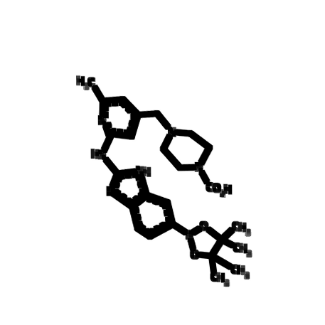 Cc1cc(CN2CCN(C(=O)O)CC2)cc(Nc2nc3ccc(B4OC(C)(C)C(C)(C)O4)cc3[nH]2)n1